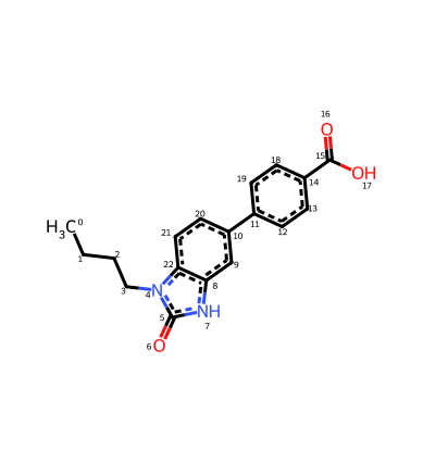 CCCCn1c(=O)[nH]c2cc(-c3ccc(C(=O)O)cc3)ccc21